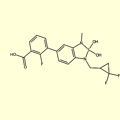 CN1c2cc(-c3cccc(C(=O)O)c3F)ccc2N(CC2CC2(F)F)S1(O)O